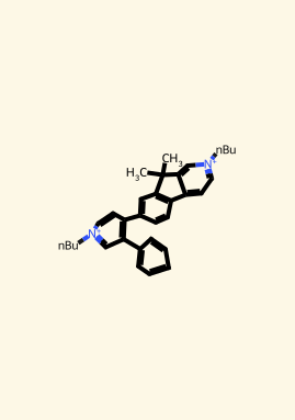 CCCC[n+]1ccc(-c2ccc3c(c2)C(C)(C)c2c[n+](CCCC)ccc2-3)c(-c2ccccc2)c1